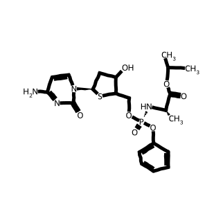 CC(C)OC(=O)[C@H](C)N[P@](=O)(OCC1S[C@@H](n2ccc(N)nc2=O)CC1O)Oc1ccccc1